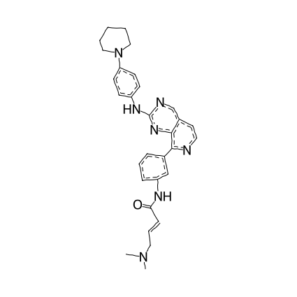 CN(C)CC=CC(=O)Nc1cccc(-c2nccc3cnc(Nc4ccc(N5CCCCC5)cc4)nc23)c1